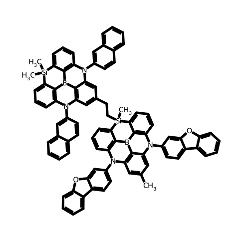 Cc1cc2c3c(c1)N(c1ccc4c(c1)oc1ccccc14)c1cccc4c1B3c1c(cccc1[Si]4(C)CCc1cc3c4c(c1)N(c1ccc5ccccc5c1)c1cccc5c1B4c1c(cccc1[Si]5(C)C)N3c1ccc3ccccc3c1)N2c1ccc2c(c1)oc1ccccc12